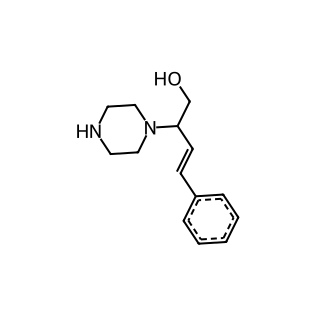 OCC(/C=C/c1ccccc1)N1CCNCC1